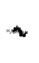 N#Cc1cccc([C@@H]2CC=NN2C(=O)N2CCN(c3ncc(F)c(-n4cc(C(N)O)cn4)n3)CC2)c1